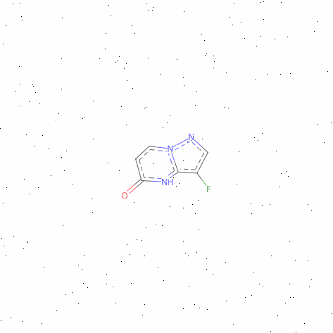 O=c1ccn2ncc(F)c2[nH]1